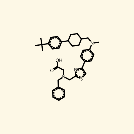 CN(CC1CCC(c2ccc(C(C)(C)C)cc2)CC1)c1ccc(-c2csc(CN(CC(=O)O)Cc3ccccc3)n2)cc1